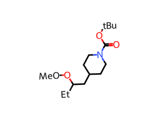 CCC(CC1CCN(C(=O)OC(C)(C)C)CC1)OOC